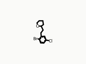 Clc1ccc(Br)c(CCC2CCCCO2)c1